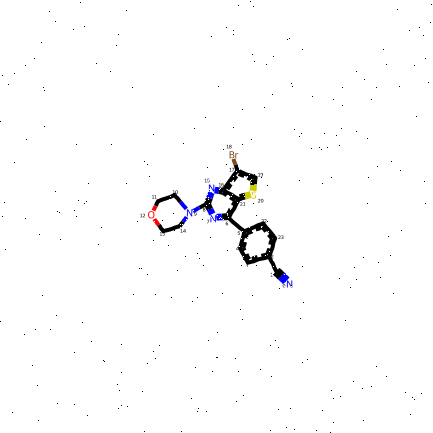 N#Cc1ccc(-c2nc(N3CCOCC3)nc3c(Br)csc23)cc1